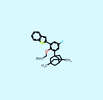 COCOc1c(-c2cc3ccccc3s2)cc(F)cc1C12CC3CC(C)(C1)CC3(C)C2